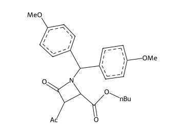 CCCCOC(=O)C1C(C(C)=O)C(=O)N1C(c1ccc(OC)cc1)c1ccc(OC)cc1